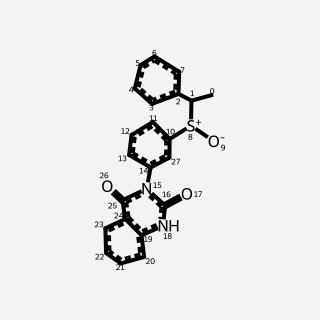 CC(c1ccccc1)[S+]([O-])c1cccc(-n2c(=O)[nH]c3ccccc3c2=O)c1